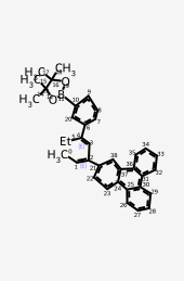 C/C=C(\C=C(/CC)c1cccc(B2OC(C)(C)C(C)(C)O2)c1)c1ccc2c3ccccc3c3ccccc3c2c1